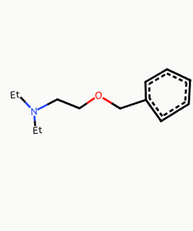 CCN(CC)CCOCc1ccccc1